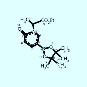 CCOC(=O)C(C)n1cc(B2OC(C)(C)C(C)(C)O2)ccc1=O